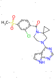 CS(=O)(=O)c1ccc(C(=O)N2CCN(c3ncnc4[nH]ccc34)CC23CC3)c(Cl)c1